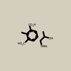 CNCC(C)O.Cc1c(C(=O)O)cccc1C(=O)O